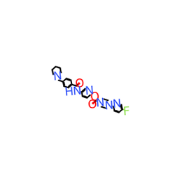 O=C(Nc1ccc(OC(=O)N2CCN(c3ccc(F)cn3)CC2)nc1)c1ccc(CN2CCCCC2)cc1